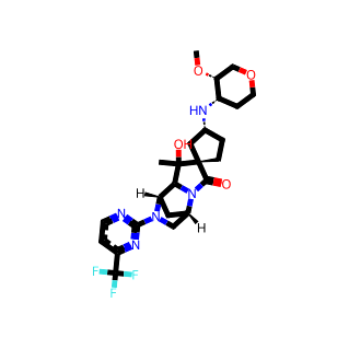 CO[C@@H]1COCC[C@@H]1N[C@@H]1CC[C@@]2(C1)C(=O)N1C([C@@H]3C[C@H]1CN3c1nccc(C(F)(F)F)n1)C2(C)O